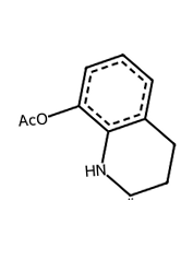 CC(=O)Oc1cccc2c1N[C]CC2